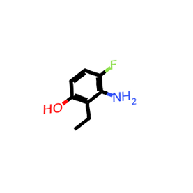 CCc1c(O)ccc(F)c1N